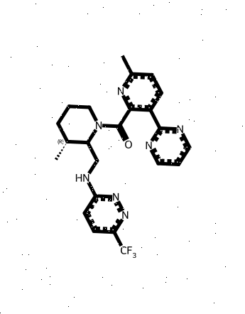 Cc1ccc(-c2ncccn2)c(C(=O)N2CCC[C@@H](C)C2CNc2ccc(C(F)(F)F)nn2)n1